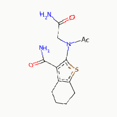 CC(=O)N(CC(N)=O)c1sc2c(c1C(N)=O)CCCC2